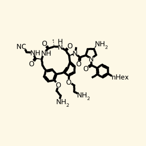 CCCCCCc1ccc(C(=O)N2C[C@@H](N)CC2C(=O)N(C)[C@@H]2C(=O)N[C@@H](C)C(=O)N[C@H](C(=O)NCC#N)Cc3ccc(OCCN)c(c3)-c3cc2ccc3OCCN)c(C)c1